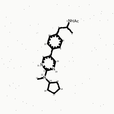 CC(=O)NC(C)Cc1ccc(-c2cnc(N(C)C3CCCC3)nc2)cc1